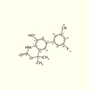 CC1(C)OC(=O)Nc2c(O)cc(-c3cc(F)cc(C#N)c3)cc21